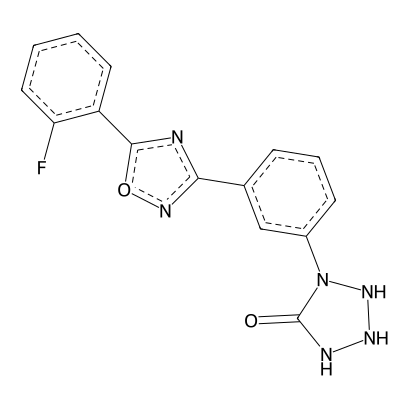 O=C1NNNN1c1cccc(-c2noc(-c3ccccc3F)n2)c1